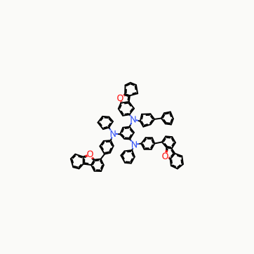 c1ccc(-c2ccc(N(c3cc(N(c4ccccc4)c4ccc(-c5cccc6c5oc5ccccc56)cc4)cc(N(c4ccccc4)c4ccc(-c5cccc6c5oc5ccccc56)cc4)c3)c3ccc4oc5ccccc5c4c3)cc2)cc1